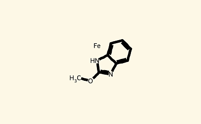 COc1nc2ccccc2[nH]1.[Fe]